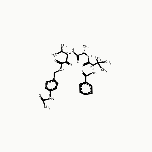 CC(C)[C@H](NC(=O)[C@H](C)NC(=O)[C@@H](NC(=O)c1ccccc1)C(C)(C)C)C(=O)C(=O)NCc1ccc(NC(N)=O)cc1